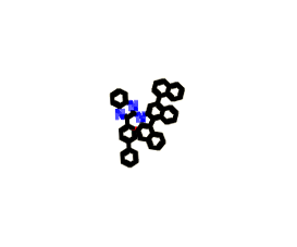 c1ccc(-c2ccc(-c3nc4ccccc4nc3-n3c4ccc5ccccc5c4c4c5ccccc5c(-c5cccc6ccccc56)cc43)cc2)cc1